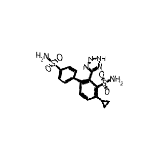 NS(=O)(=O)c1ccc(-c2ccc(C3CC3)c(S(N)(=O)=O)c2-c2nn[nH]n2)cc1